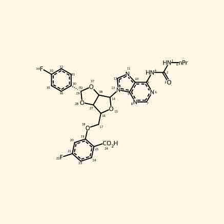 CCCNC(=O)Nc1ncnc2c1ncn2C1OC(COc2cc(F)ccc2C(=O)O)C2O[C@H](c3ccc(F)cc3)OC21